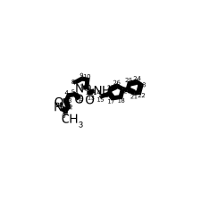 Cc1cc(CC(=O)N2CCC[C@H]2C(=O)NCC2=CCC(c3ccccc3)C=C2)on1